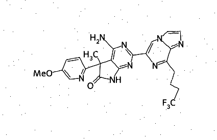 COc1ccc(C2(C)C(=O)Nc3nc(-c4cn5ccnc5c(CCCC(F)(F)F)n4)nc(N)c32)nc1